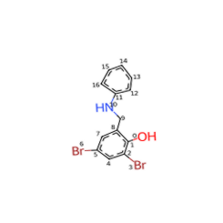 Oc1c(Br)cc(Br)cc1CNc1ccccc1